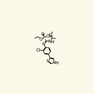 CCOP(=O)(O)/C(=N/c1ccc(-c2c[nH]cn2)cc1Cl)NC(C)OC